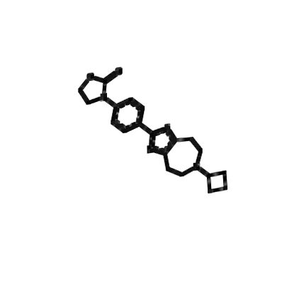 O=C1OCCN1c1ccc(-c2nc3c(s2)CCN(C2CCC2)CC3)cc1